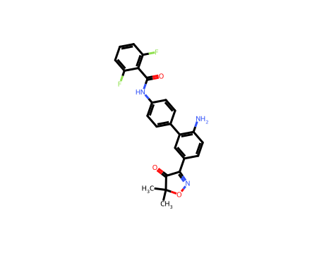 CC1(C)ON=C(c2ccc(N)c(-c3ccc(NC(=O)c4c(F)cccc4F)cc3)c2)C1=O